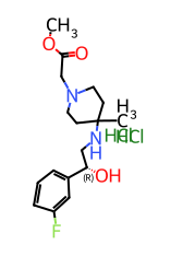 COC(=O)CN1CCC(C)(NC[C@H](O)c2cccc(F)c2)CC1.Cl.Cl